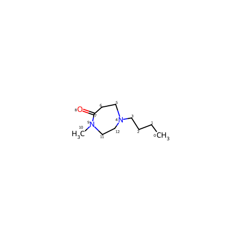 CCCCN1CCC(=O)N(C)CC1